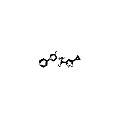 C[C@@H]1CN(c2ccncc2)C[C@H]1NC(=O)c1cc(C2CC2)on1